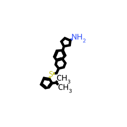 CC(C)c1ccccc1SCC1CCc2cc(C3CCC(N)C3)ccc2C1